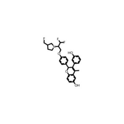 CC1=C(c2cccc(O)c2)C(c2ccc(OCC(C(F)F)N3CCC(CF)C3)cc2)Oc2ccc(O)cc21